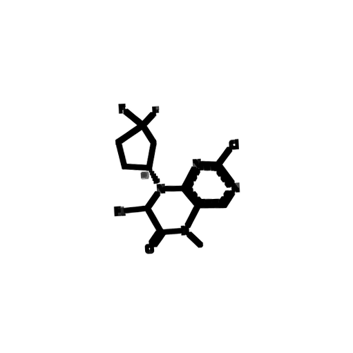 CCC1C(=O)N(C)c2cnc(Cl)nc2N1[C@@H]1CCC(F)(F)C1